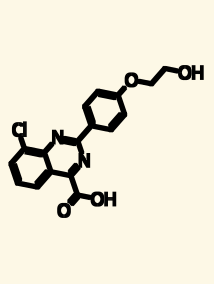 O=C(O)c1nc(-c2ccc(OCCO)cc2)nc2c(Cl)cccc12